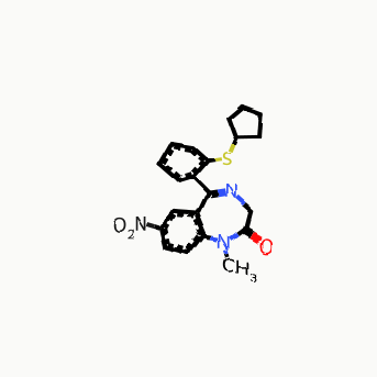 CN1C(=O)CN=C(c2ccccc2SC2CCCC2)c2cc([N+](=O)[O-])ccc21